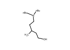 CCCCN(CCCC)CCC(C)CCO